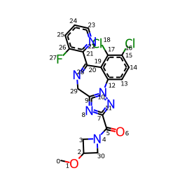 COC1CN(C(=O)c2nc3n(n2)-c2ccc(Cl)c(Cl)c2C(c2ncccc2F)=NC3)C1